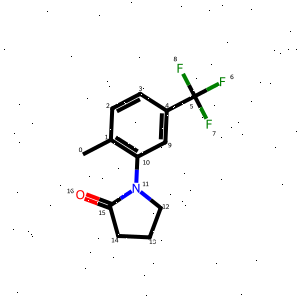 Cc1ccc(C(F)(F)F)cc1N1CCCC1=O